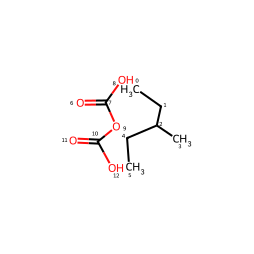 CCC(C)CC.O=C(O)OC(=O)O